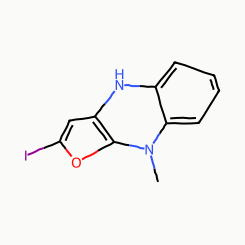 CN1c2ccccc2Nc2cc(I)oc21